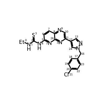 CCNC(=S)Nc1ccc2ncc(-c3cnn(Cc4ccc(Cl)cc4)c3)nc2n1